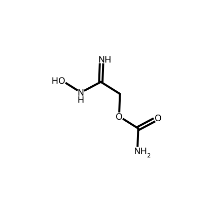 N=C(COC(N)=O)NO